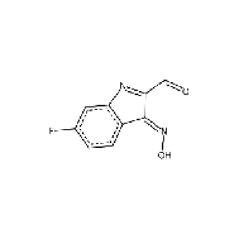 O=CC1=Nc2cc(F)ccc2C1=NO